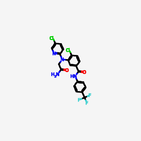 NC(=O)CN(c1ccc(Cl)cn1)c1cc(C(=O)Nc2ccc(C(F)(F)F)cc2)ccc1Cl